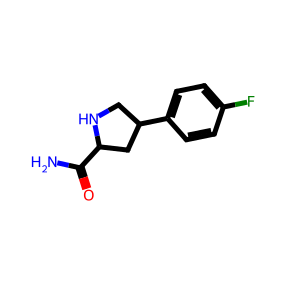 NC(=O)C1CC(c2ccc(F)cc2)CN1